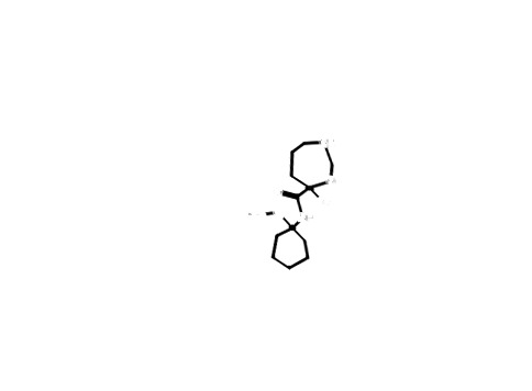 CC(=O)C1(C(=O)NC2(OC=O)CCCCC2)CCCNCN1